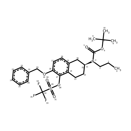 CCCN(C(=O)OC(C)(C)C)[C@H]1CCc2c(ccc(OCc3ccccc3)c2OS(=O)(=O)C(F)(F)F)C1